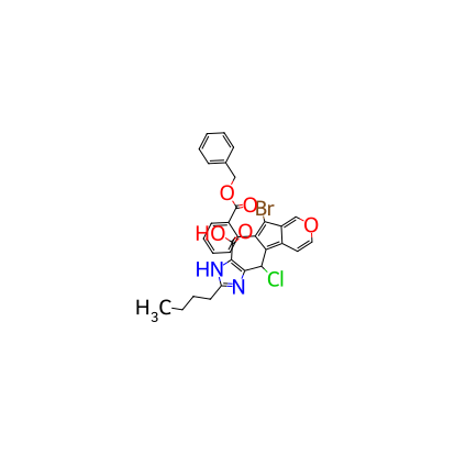 CCCCc1nc(C(Cl)c2c3ccocc-3c(Br)c2-c2ccccc2C(=O)OCc2ccccc2)c(C(=O)O)[nH]1